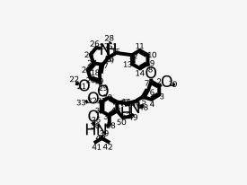 COc1ccc2cc1Oc1ccc(cc1)C[C@H]1c3cc(c(OC)cc3CCN1C)Oc1c(OC)c(OC)c(CNC(C)C)c3c1[C@H](C2)N(C)CC3